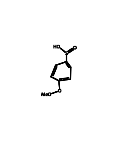 COOc1ccc(S(=O)O)cc1